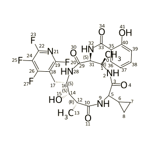 C[C@H]1NC(=O)C(C2CC2)NC(=O)[C@H](C)[C@H](O)[C@H](Cc2c(F)nc(F)c(F)c2F)NC(=O)[C@H]1NC(=O)c1ccccc1O